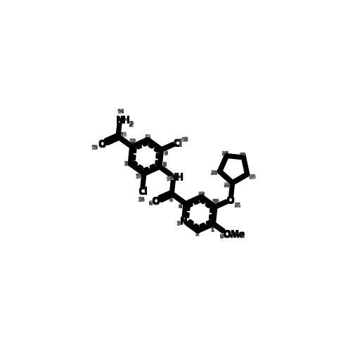 COc1cnc(C(=O)Nc2c(Cl)cc(C(N)=O)cc2Cl)cc1OC1CCCC1